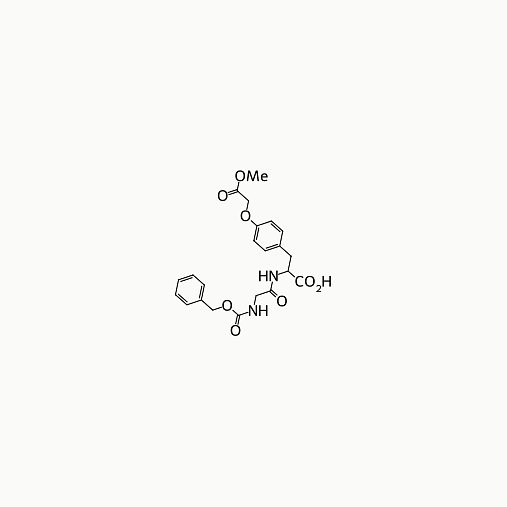 COC(=O)COc1ccc(CC(NC(=O)CNC(=O)OCc2ccccc2)C(=O)O)cc1